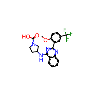 COc1ccc(C(F)(F)F)cc1-c1nc(NC2CCN(C(=O)O)C2)c2ccccc2n1